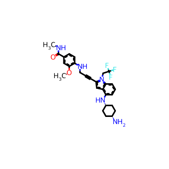 CNC(=O)c1ccc(NCC#Cc2cc3c(N[C@H]4CC[C@@H](N)CC4)cccc3n2CC(F)(F)F)c(OC)c1